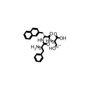 C[C@H](O)[C@@H](NC(=O)[C@@H](Cc1ccc2ccccc2c1)NC(=O)[C@H](N)Cc1ccccc1)C(=O)O